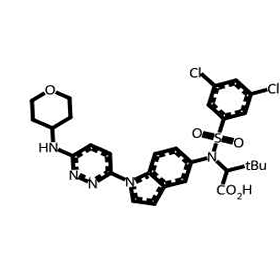 CC(C)(C)C(C(=O)O)N(c1ccc2c(ccn2-c2ccc(NC3CCOCC3)nn2)c1)S(=O)(=O)c1cc(Cl)cc(Cl)c1